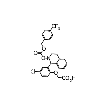 O=C(O)COc1ccc(Cl)cc1C1c2ccccc2CCN1OC(=O)OCc1ccc(C(F)(F)F)cc1